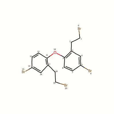 BrCCc1cc(Br)ccc1Oc1ccc(Br)cc1CCBr